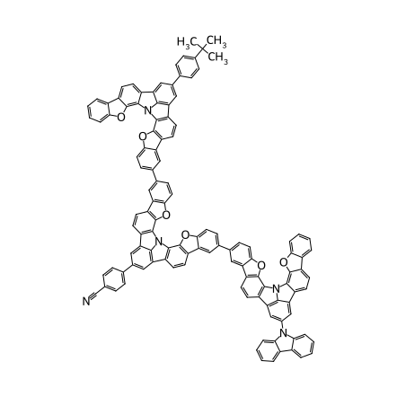 CC(C)(C)c1ccc(-c2cc3c4ccc5c6ccccc6oc5c4n4c3c(c2)c2ccc3c5cc(-c6ccc7oc8c(ccc9c%10cc(-c%11ccc(C#N)cc%11)cc%11c%12ccc%13c%14cc(-c%15ccc%16oc%17c(ccc%18c%19cc(-n%20c%21ccccc%21c%21ccccc%21%20)cc%20c%21ccc%22c%23ccccc%23oc%22c%21n(c%20%19)c%18%17)c%16c%15)ccc%14oc%13c%12n(c%10%11)c98)c7c6)ccc5oc3c24)cc1